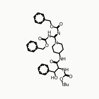 CC(C)(C)OC(=O)NC(C(=O)NC1CCN(C(=NC(=O)OCc2ccccc2)NC(=O)OCc2ccccc2)CC1)C(O)c1ccccc1